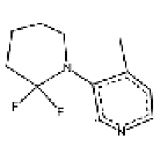 Cc1ccn[c]c1N1CCCCC1(F)F